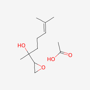 CC(=O)O.CC(C)=CCCC(C)(O)C1CO1